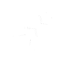 CC(C)c1c(-c2nccs2)[nH]c(C=O)c1C(=O)O